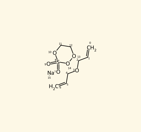 C=CCOCC=C.O=S1(=O)OCCOO1.[Na]